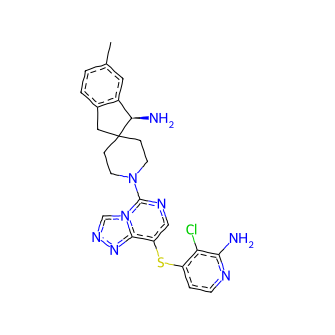 Cc1ccc2c(c1)[C@@H](N)C1(CCN(c3ncc(Sc4ccnc(N)c4Cl)c4nncn34)CC1)C2